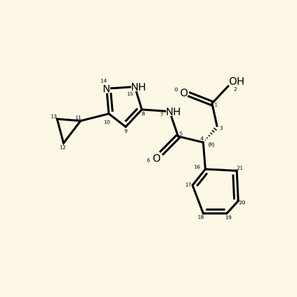 O=C(O)C[C@@H](C(=O)Nc1cc(C2CC2)n[nH]1)c1ccccc1